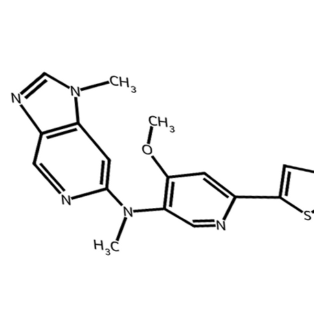 COc1cc(-c2cccs2)ncc1N(C)c1cc2c(cn1)ncn2C